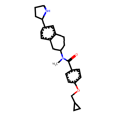 CN(C(=O)c1ccc(OCC2CC2)cc1)C1CCc2cc(C3CCCN3)ccc2C1